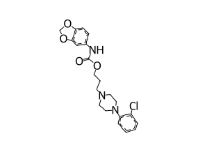 O=C(Nc1ccc2c(c1)OCO2)OCCCN1CCN(c2ccccc2Cl)CC1